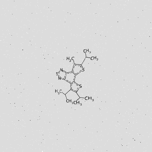 Cc1c(C(C)C)sc2c3sc(C(C)C)c(C(C)C)c3c3nsnc3c12